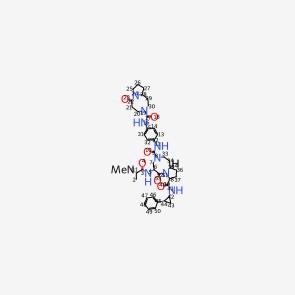 CN[C@@H](C)C(=O)N[C@H]1CN(C(=O)Nc2ccc(NC(=O)N3CCC(=O)N4CCCC4CC3)cc2)CC[C@H]2CC[C@@H](C(=O)N[C@H]3C[C@H]3c3ccccc3)N2C1=O